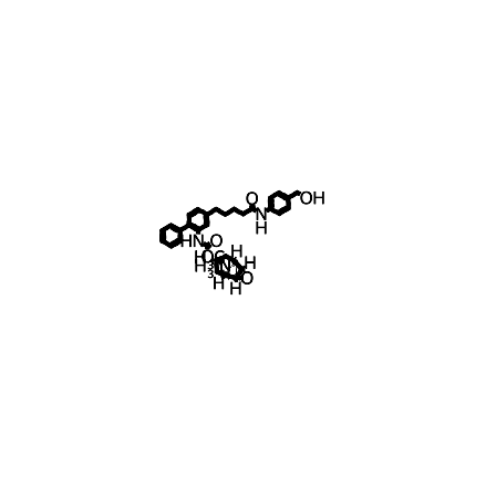 C[N+]1(C)[C@@H]2C[C@@H](OC(=O)Nc3cc(CCCCC(=O)Nc4ccc(CO)cc4)ccc3-c3ccccc3)C[C@H]1[C@@H]1O[C@@H]12